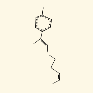 CC/C=C\CCOC=C(C)c1ccc(C)cc1